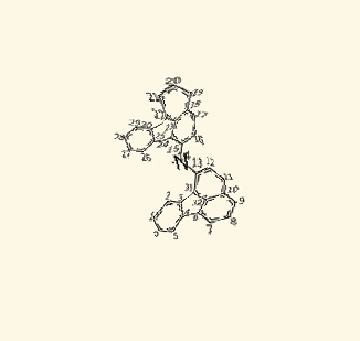 c1ccc2c(c1)-c1cccc3ccc([N]c4ccc5cccc6c5c4-c4ccccc4-6)c-2c13